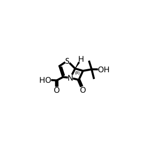 CC(C)(O)C1C(=O)N2C(C(=O)O)=CS[C@H]12